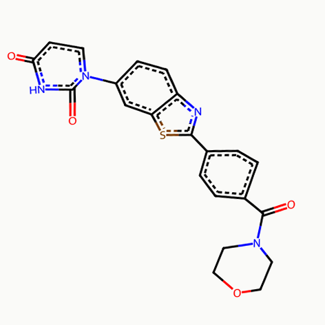 O=C(c1ccc(-c2nc3ccc(-n4ccc(=O)[nH]c4=O)cc3s2)cc1)N1CCOCC1